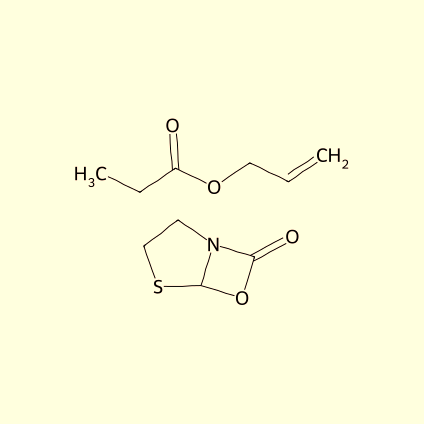 C=CCOC(=O)CC.O=C1OC2SCCN12